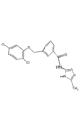 Cc1nnc(NC(=O)c2cccc(COc3cc(Cl)ccc3Cl)c2)[nH]1